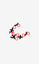 CCC1(COC(I)C(C)(C)COCC2CO2)COC(C(C)(C)COCC2CO2)OC1